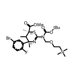 COC(=O)[C@@]1(C)SC(N(COCC[Si](C)(C)C)C(=O)OC(C)(C)C)=N[C@](C)(c2cc(Br)ccc2F)C1C